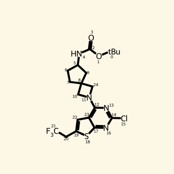 CC(C)(C)OC(=O)NC1CCC2(C1)CN(c1nc(Cl)nc3sc(CC(F)(F)F)cc13)C2